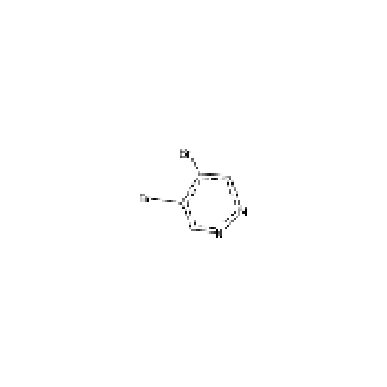 Brc1cnncc1Br